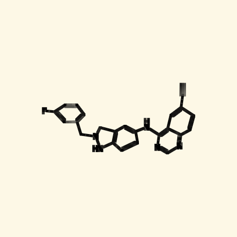 C#Cc1ccc2ncnc(Nc3ccc4c(c3)CN(Cc3cccc(F)c3)N4)c2c1